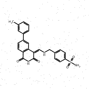 Cc1cccc(-c2ccc3c(c2)/C(=C/NCc2ccc(S(N)(=O)=O)cc2)C(=O)NC3=O)c1